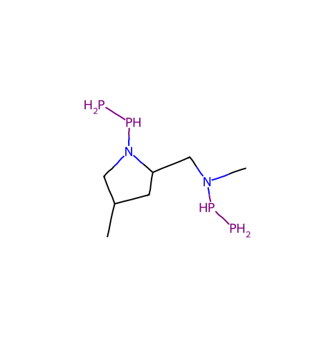 CC1CC(CN(C)PP)N(PP)C1